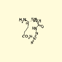 N[C@@H](CCC(=O)O)C(=O)O.[N-]=[N+]=NNC(N)=O